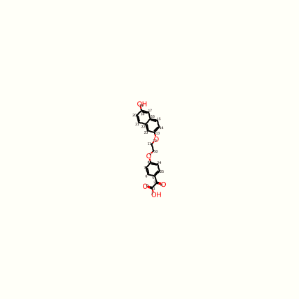 O=C(O)C(=O)c1ccc(OCCOc2ccc3cc(O)ccc3c2)cc1